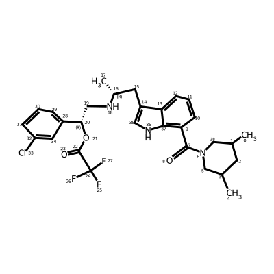 CC1CC(C)CN(C(=O)c2cccc3c(C[C@@H](C)NC[C@H](OC(=O)C(F)(F)F)c4cccc(Cl)c4)c[nH]c23)C1